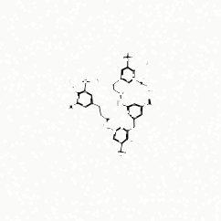 C=C(C)c1cc(Cc2cc(NC(=O)CCc3cc(C(C)(C)C)c(O)c(C(C)(C)C)c3)cc(C(C)(C)C)c2O)cc(NC(=O)CCc2cc(C(C)(C)C)c(O)c(C(C)(C)C)c2)c1